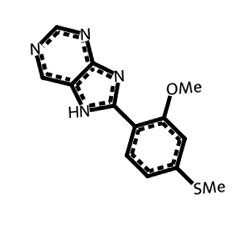 COc1cc(SC)ccc1-c1nc2ncncc2[nH]1